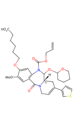 C=CCOC(=O)N1c2cc(OCCCCCC(=O)O)c(OC)cc2C(=O)N2CC=C(c3ccsc3)C[C@H]2C1OC1CCCCO1